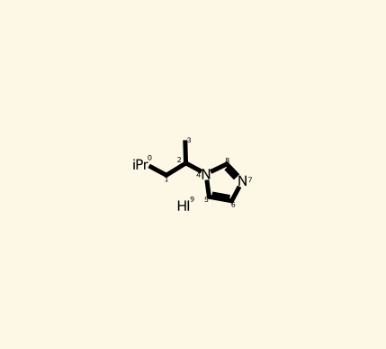 CC(C)CC(C)n1ccnc1.I